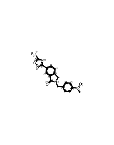 C[S+]([O-])c1ccc(CN2Cc3ccc(-c4noc(C(F)(F)F)n4)cc3C2=O)cc1